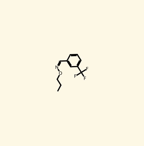 CCCO/N=[C]\c1cccc(C(F)(F)F)c1